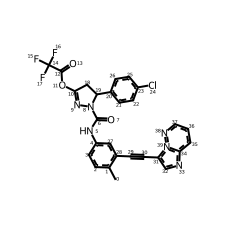 Cc1ccc(NC(=O)N2N=C(OC(=O)C(F)(F)F)CC2c2ccc(Cl)cc2)cc1C#Cc1cnc2cccnn12